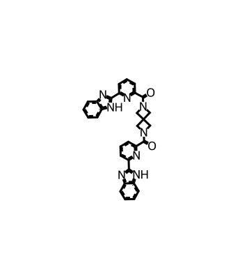 O=C(c1cccc(-c2nc3ccccc3[nH]2)n1)N1CC2(C1)CN(C(=O)c1cccc(-c3nc4ccccc4[nH]3)n1)C2